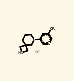 Cl.FC(F)(F)c1cncc(N2CCCC3(CNC3)C2)c1